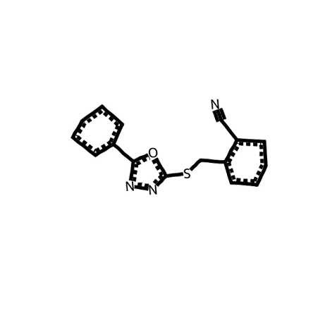 N#Cc1ccccc1CSc1nnc(-c2ccccc2)o1